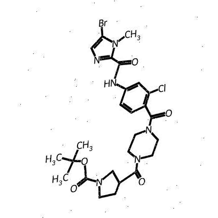 Cn1c(Br)cnc1C(=O)Nc1ccc(C(=O)N2CCN(C(=O)C3CCN(C(=O)OC(C)(C)C)C3)CC2)c(Cl)c1